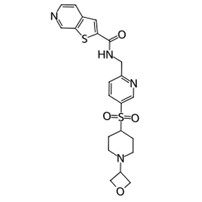 O=C(NCc1ccc(S(=O)(=O)C2CCN(C3COC3)CC2)cn1)c1cc2ccncc2s1